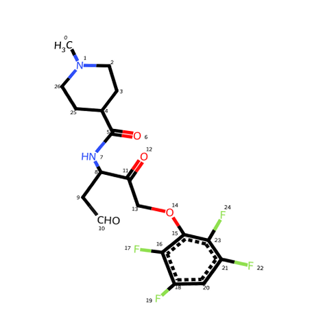 CN1CCC(C(=O)NC(CC=O)C(=O)COc2c(F)c(F)cc(F)c2F)CC1